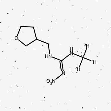 [2H]C([2H])([2H])N/C(=N/[N+](=O)[O-])NCC1CCOC1